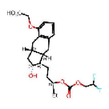 CC[C@@H](CC[C@@H]1[C@H]2Cc3cccc(OCC(=O)O)c3C[C@H]2C[C@H]1O)OC(=O)OCC(F)F